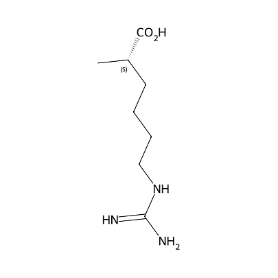 C[C@@H](CCCCNC(=N)N)C(=O)O